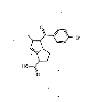 Cc1cc2n(c1C(=O)c1ccc(Br)cc1)CCC2C(=O)O